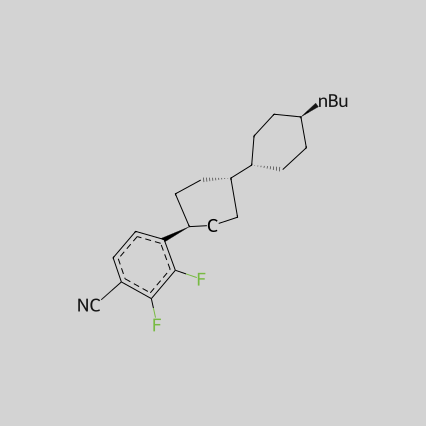 CCCC[C@H]1CC[C@H]([C@H]2CC[C@H](c3ccc(C#N)c(F)c3F)CC2)CC1